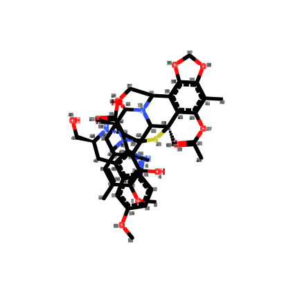 COC1=C(O)C2(C)C(C=C1C)C[C@@H]1[C@H](O)N3C4COC(=O)[C@]5(CS[C@H](c6c(OC(C)=O)c(C)c7c(c64)OCO7)C3C2N1C)N[C@H](CO)Cc1c5[nH]c2ccc(OC)cc12